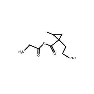 CCCCCCCCCCC1(C(=O)OC(=O)CN)CC1C